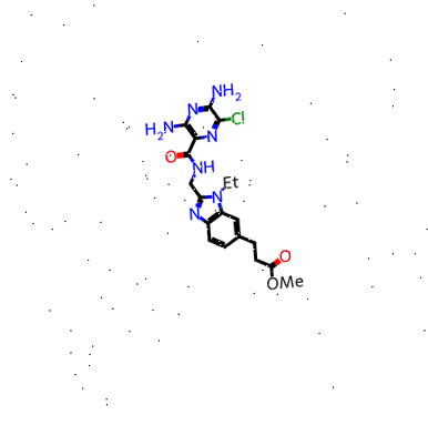 CCn1c(CNC(=O)c2nc(Cl)c(N)nc2N)nc2ccc(CCC(=O)OC)cc21